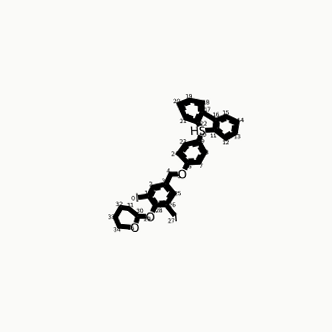 Ic1cc(COc2ccc([SH]3c4ccccc4-c4ccccc43)cc2)cc(I)c1OC1CCCCO1